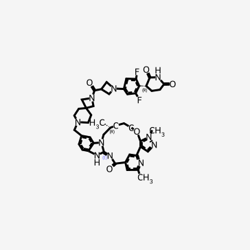 Cc1cc2cc(n1)-c1cnn(C)c1OCCC[C@@H](C)CN1/C(=N/C2=O)Nc2ccc(CN3CCC4(CC3)CN(C(=O)C3CN(c5cc(F)c([C@H]6CCC(=O)NC6=O)c(F)c5)C3)C4)cc21